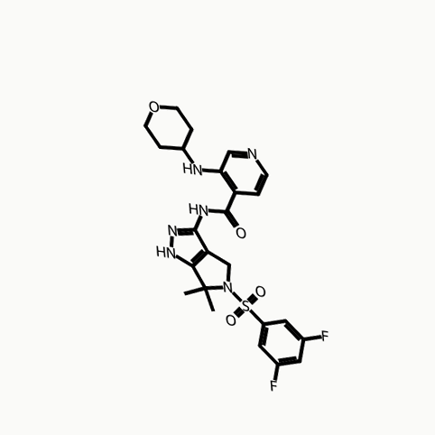 CC1(C)c2[nH]nc(NC(=O)c3ccncc3NC3CCOCC3)c2CN1S(=O)(=O)c1cc(F)cc(F)c1